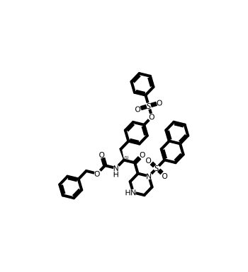 O=C(N[C@@H](Cc1ccc(OS(=O)(=O)c2ccccc2)cc1)C(=O)C1CNCCN1S(=O)(=O)c1ccc2ccccc2c1)OCc1ccccc1